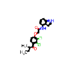 C=C(CC)C(=O)c1ccc(OCC(=O)Nc2cccc3[nH]ccc23)c(Cl)c1Cl